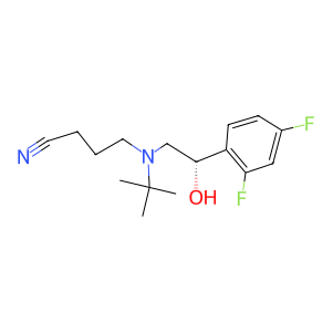 CC(C)(C)N(CCCC#N)C[C@@H](O)c1ccc(F)cc1F